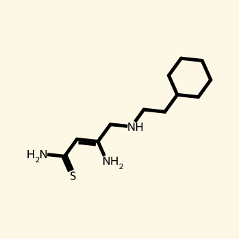 NC(=S)C=C(N)CNCCC1CCCCC1